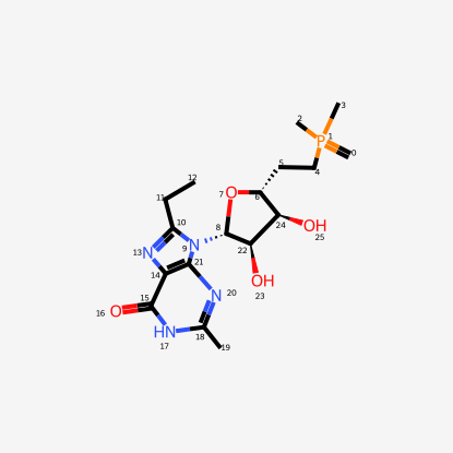 C=P(C)(C)CC[C@H]1O[C@@H](n2c(CC)nc3c(=O)[nH]c(C)nc32)[C@H](O)[C@@H]1O